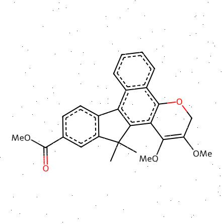 COC(=O)c1ccc2c(c1)C(C)(C)c1c3c(c4ccccc4c1-2)OCC(OC)=C3OC